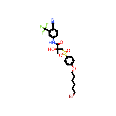 CC(O)(CS(=O)(=O)c1ccc(OCCCCCCBr)cc1)C(=O)Nc1ccc(C#N)c(C(F)(F)F)c1